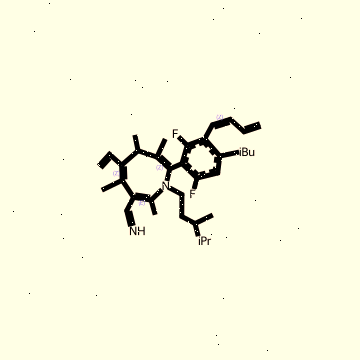 C=C/C=C\c1c(C(C)CC)cc(F)c(/C2=C(\C)C(C)/C(C=C)=C(C)\C(C=N)=C(\C)N2CCC(C)C(C)C)c1F